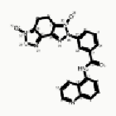 O=C(Nc1cccc2ncccc12)c1cccc(-n2nc3c([n+]2[O-])CCc2c-3no[n+]2[O-])c1